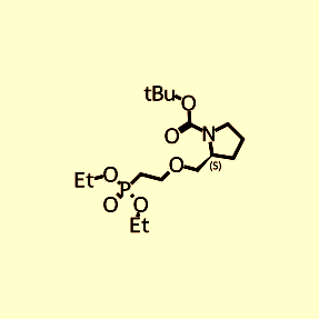 CCOP(=O)(CCOC[C@@H]1CCCN1C(=O)OC(C)(C)C)OCC